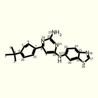 CC(C)(C)c1ccc(-c2cc(Nc3ccc4ncsc4c3)nc(N)n2)cc1